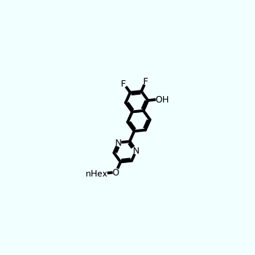 CCCCCCOc1cnc(-c2ccc3c(O)c(F)c(F)cc3c2)nc1